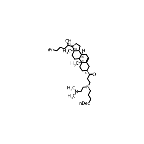 CCCCCCCCCCCCCN(CCC(=O)[C@H]1CC[C@@]2(C)C(=CC[C@@H]3C2CC[C@@]2(C)C3CC[C@@H]2[C@H](C)CCCC(C)C)C1)CCN(C)C